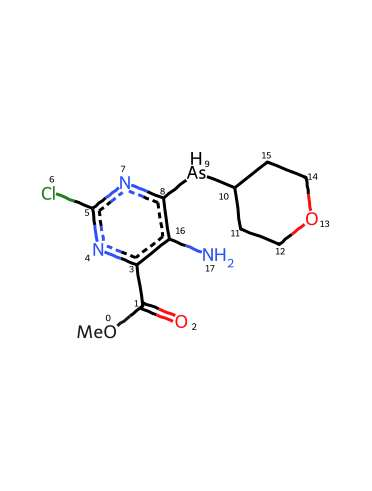 COC(=O)c1nc(Cl)nc([AsH]C2CCOCC2)c1N